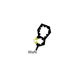 C[N]c1cc2ccccc2s1